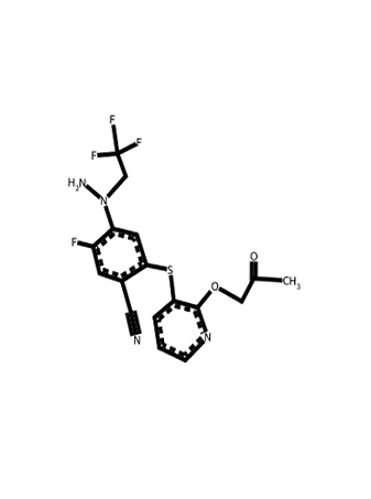 CC(=O)COc1ncccc1Sc1cc(N(N)CC(F)(F)F)c(F)cc1C#N